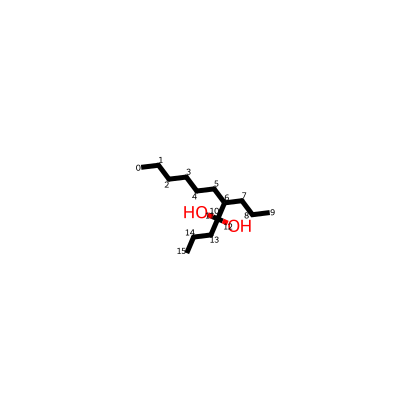 CCCCCCC(CCC)C(O)(O)CCC